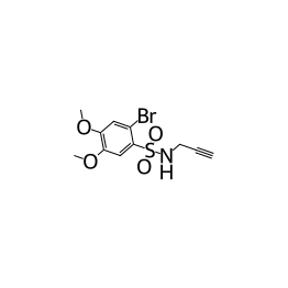 C#CCNS(=O)(=O)c1cc(OC)c(OC)cc1Br